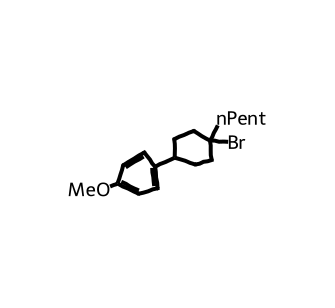 CCCCCC1(Br)CCC(c2ccc(OC)cc2)CC1